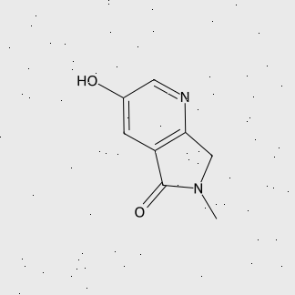 CN1Cc2ncc(O)cc2C1=O